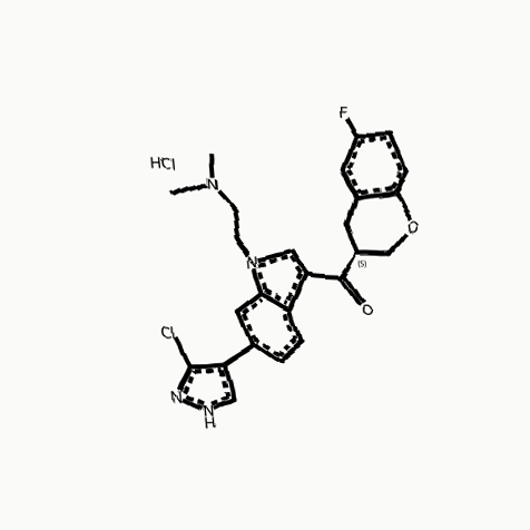 CN(C)CCn1cc(C(=O)[C@@H]2COc3ccc(F)cc3C2)c2ccc(-c3c[nH]nc3Cl)cc21.Cl